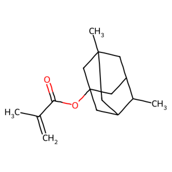 C=C(C)C(=O)OC12CC3CC(C)(CC(C1)C3C)C2